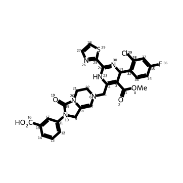 COC(=O)C1=C(CN2C=C3CN(c4cccc(C(=O)O)c4)C(=O)N3CC2)NC(c2nccs2)=NC1c1ccc(F)cc1Cl